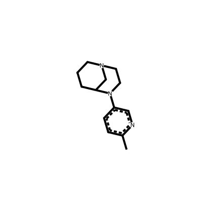 Cc1ccc(N2CCN3CCCC2C3)cn1